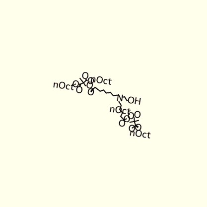 CCCCCCCCOC(=O)C(C)(COC(=O)CCCCCCCN(CCO)CCCCCC(=O)OCC(C)(C(=O)OCCCCCCCC)C(=O)OCCCCCCCC)C(=O)OCCCCCCCC